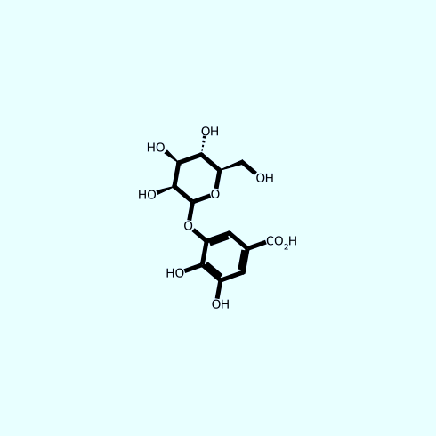 O=C(O)c1cc(O)c(O)c(OC2O[C@H](CO)[C@@H](O)[C@H](O)[C@@H]2O)c1